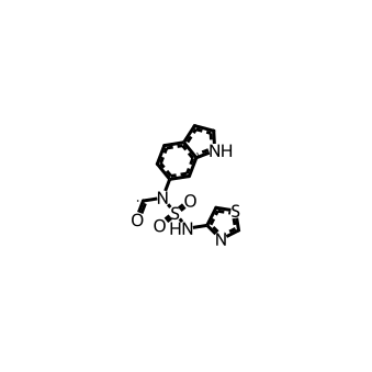 O=[C]N(c1ccc2cc[nH]c2c1)S(=O)(=O)Nc1cscn1